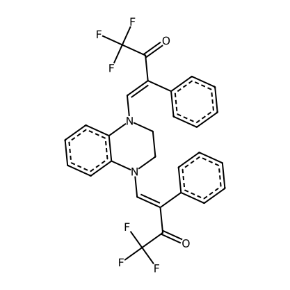 O=C(/C(=C/N1CCN(/C=C(/C(=O)C(F)(F)F)c2ccccc2)c2ccccc21)c1ccccc1)C(F)(F)F